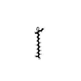 CCC(=O)C(C)CCCCCCCCCCCC(C)C